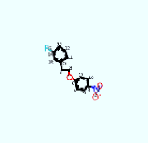 O=[N+]([O-])c1ccc(OCCc2cccc(F)c2)cc1